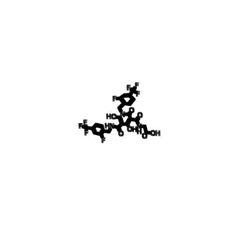 O=C(O)CNC(=O)c1c(O)c(C(=O)NCc2ccc(C(F)(F)F)cc2F)c(O)n(Cc2ccc(C(F)(F)F)cc2F)c1=O